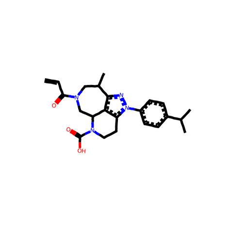 C=CC(=O)N1CC(C)c2nn(-c3ccc(C(C)C)cc3)c3c2C(C1)N(C(=O)O)CC3